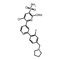 COc1nc(-c2ccnc(-c3ccc(CN4CCCC4)cc3F)c2)c(Cl)cc1S(N)(=O)=O